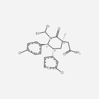 CCC(CC)N1C(=O)[C@@](C)(CC(N)=O)C[C@H](c2cccc(Cl)c2)[C@H]1c1ccc(Cl)cc1